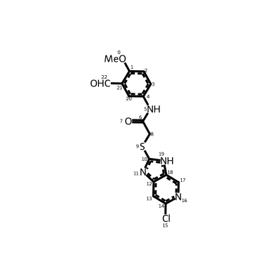 COc1ccc(NC(=O)CSc2nc3cc(Cl)ncc3[nH]2)cc1C=O